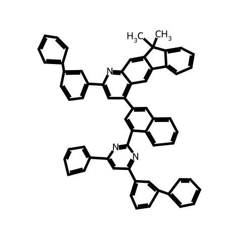 CC1(C)c2ccccc2-c2cc3c(-c4cc(-c5nc(-c6ccccc6)cc(-c6cccc(-c7ccccc7)c6)n5)c5ccccc5c4)cc(-c4cccc(-c5ccccc5)c4)nc3cc21